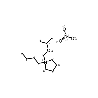 CCCC[N+]1(COC(C)C)CCCC1.O=[N+]([O-])[O-]